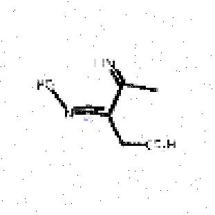 CC(=N)/C(CC(=O)O)=N\O